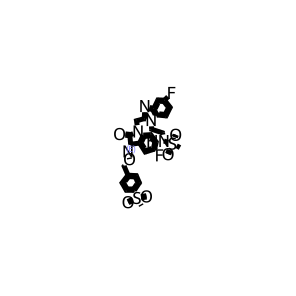 CS(=O)(=O)NCCn1c(CN2C(=O)/C(=N/OCc3ccc(S(C)(=O)=O)cc3)c3cc(F)ccc32)nc2cc(F)ccc21